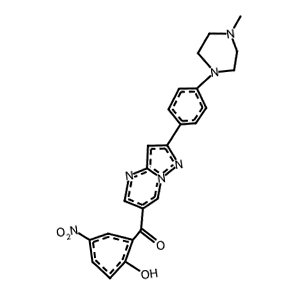 CN1CCN(c2ccc(-c3cc4ncc(C(=O)c5cc([N+](=O)[O-])ccc5O)cn4n3)cc2)CC1